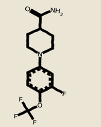 NC(=O)C1CCN(c2ccc(OC(F)(F)F)c(F)c2)CC1